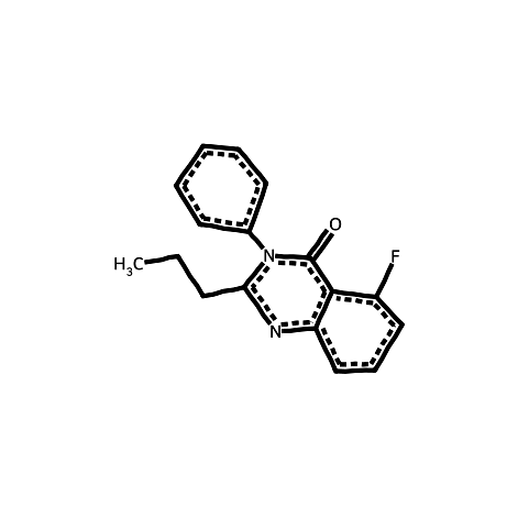 CCCc1nc2cccc(F)c2c(=O)n1-c1ccccc1